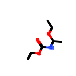 CCOC(=O)NC(C)OCC